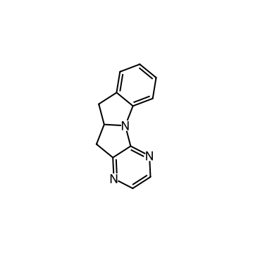 c1ccc2c(c1)CC1Cc3nccnc3N21